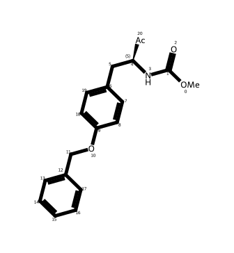 COC(=O)N[C@@H](Cc1ccc(OCc2ccccc2)cc1)C(C)=O